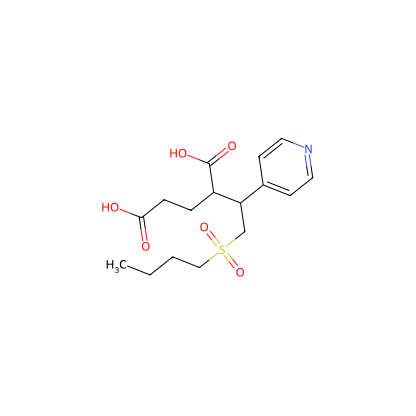 CCCCS(=O)(=O)CC(c1ccncc1)C(CCC(=O)O)C(=O)O